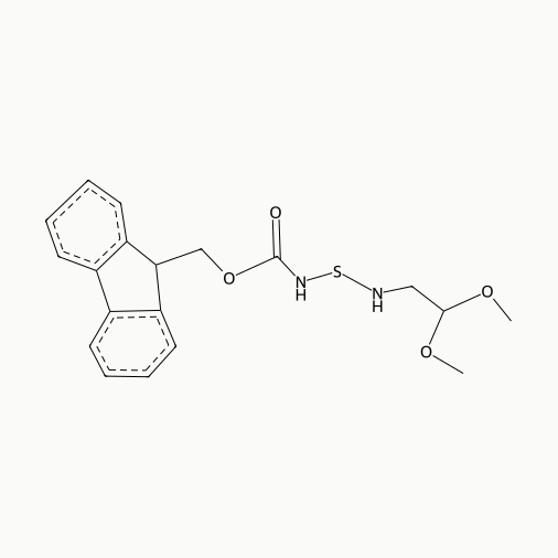 COC(CNSNC(=O)OCC1c2ccccc2-c2ccccc21)OC